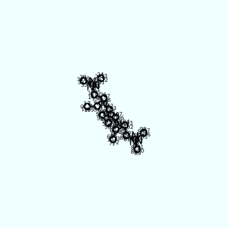 c1ccc(-c2ccc3c(c2)c2c(-c4cccc(-c5nc(-c6ccccc6)nc(-c6ccccc6)n5)c4)cccc2n3-c2ccc3c(c2)C2(c4ccccc4-c4ccccc42)c2cc(-n4c5ccc(-c6ccccc6)cc5c5c(-c6cccc(-c7nc(-c8ccccc8)nc(-c8ccccc8)n7)c6)cccc54)ccc2-3)cc1